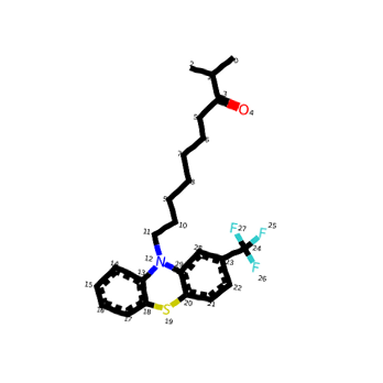 CC(C)C(=O)CCCCCCCN1c2ccccc2Sc2ccc(C(F)(F)F)cc21